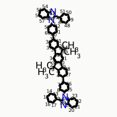 CC1(C)c2cc(-c3ccc(-n4c(-c5ccccc5)nc5ccccc54)cc3)ccc2-c2cc3c(cc21)-c1ccc(-c2ccc(-n4c(-c5ccccc5)nc5ccccc54)cc2)cc1C3(C)C